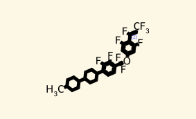 CC1CCC(C2CCC(c3ccc(C(F)(F)Oc4cc(F)c(/C(F)=C/C(F)(F)F)c(F)c4)c(F)c3F)CC2)CC1